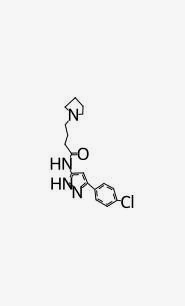 O=C(CCCN1CCCC1)Nc1cc(-c2ccc(Cl)cc2)n[nH]1